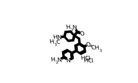 CNC1CCC(Cc2cc(-c3ccc(N)nc3)ccc2OC)(C(N)=O)CC1.Cl.Cl